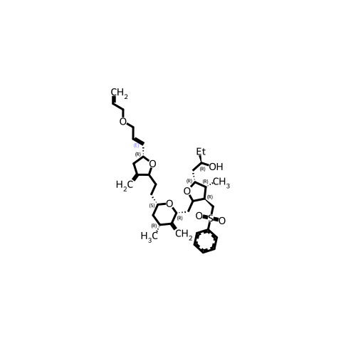 C=CCOC/C=C/[C@H]1CC(=C)C(CC[C@H]2C[C@@H](C)C(=C)[C@@H](CC3O[C@H](C[C@H](O)CC)[C@H](C)[C@H]3CS(=O)(=O)c3ccccc3)O2)O1